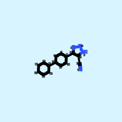 N#Cc1[nH]nnc1-c1ccc(-c2ccccc2)cc1